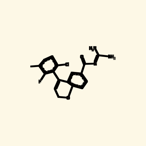 Cc1ccc(Cl)c(C2=CCOc3ccc(C(=O)N=C(N)N)cc32)c1F